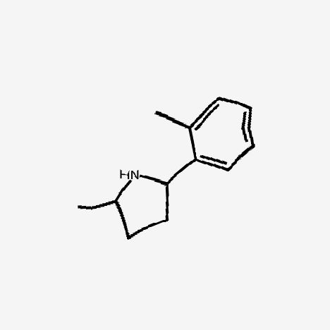 Cc1ccccc1C1CCC(C)N1